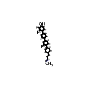 C/C=C/CCC1CC=C(c2ccc(-c3ccc(-c4ccc(O)c(F)c4F)cc3)cc2F)CC1